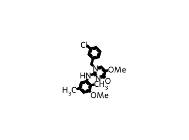 COc1cc(C)cc(Nc2nc(=O)c(OC)cn2Cc2cccc(Cl)c2)c1C